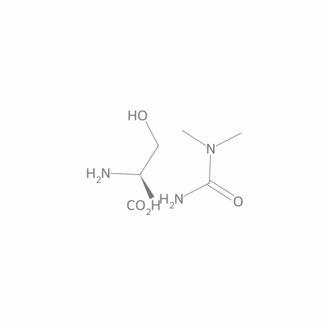 CN(C)C(N)=O.N[C@@H](CO)C(=O)O